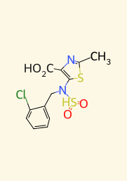 Cc1nc(C(=O)O)c(N(Cc2ccccc2Cl)[SH](=O)=O)s1